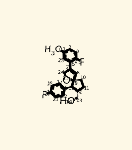 Cc1ccc(F)c(C2=C[C@@]3(CC[C@H](CO)[C@H]3c3ccc(F)cc3)OC2)c1